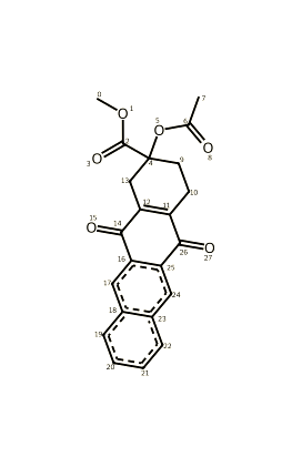 COC(=O)C1(OC(C)=O)CCC2=C(C1)C(=O)c1cc3ccccc3cc1C2=O